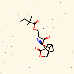 CCC(C)(C)C(=O)OCCC(=O)OC1C2CC3C1OC(=O)C3(C#N)C2